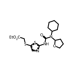 CCOC(=O)CSc1cnc(NC(=O)N(C2CCCCC2)C2CCCO2)s1